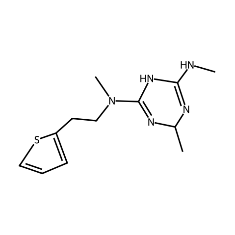 CNC1=NC(C)N=C(N(C)CCc2cccs2)N1